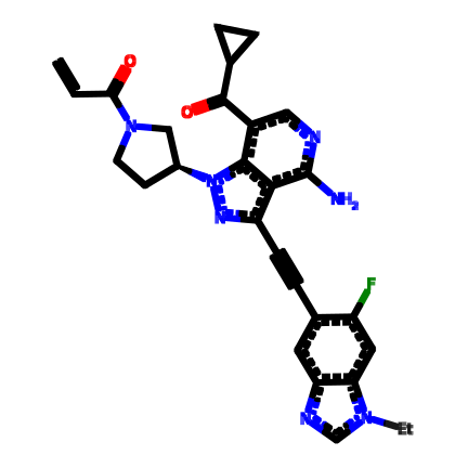 C=CC(=O)N1CC[C@H](n2nc(C#Cc3cc4ncn(CC)c4cc3F)c3c(N)ncc(C(=O)C4CC4)c32)C1